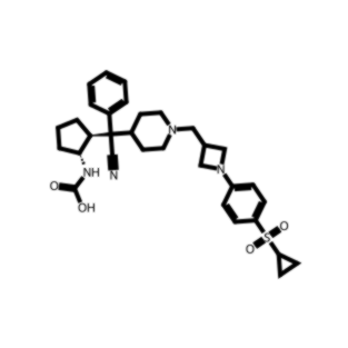 N#CC(c1ccccc1)(C1CCN(CC2CN(c3ccc(S(=O)(=O)C4CC4)cc3)C2)CC1)[C@@H]1CCC[C@H]1NC(=O)O